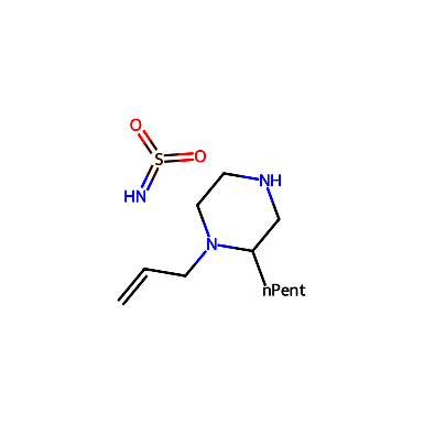 C=CCN1CCNCC1CCCCC.N=S(=O)=O